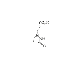 CCOC(=O)CCN1CCC(=O)N1